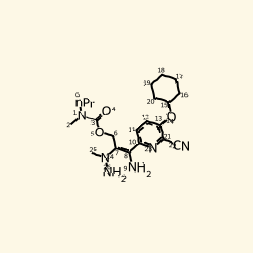 CCCN(C)C(=O)OC/C(=C(/N)c1ccc(OC2CCCCC2)c(C#N)n1)N(C)N